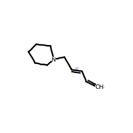 [CH]=C/C=C/CN1CCCCC1